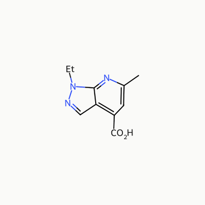 CCn1ncc2c(C(=O)O)cc(C)nc21